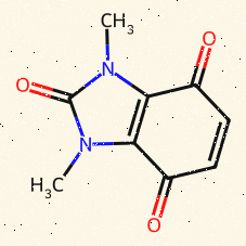 Cn1c2c(n(C)c1=O)C(=O)C=CC2=O